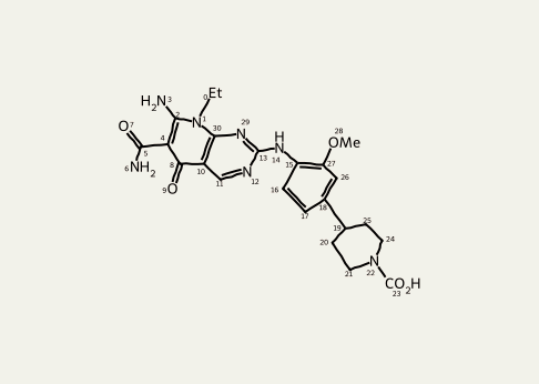 CCn1c(N)c(C(N)=O)c(=O)c2cnc(Nc3ccc(C4CCN(C(=O)O)CC4)cc3OC)nc21